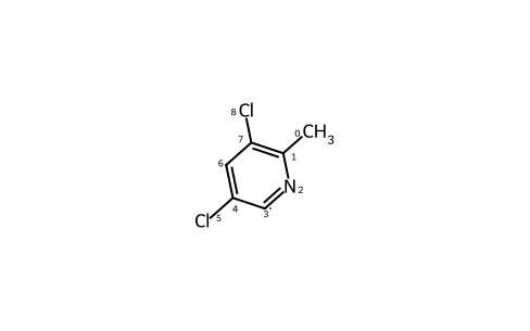 Cc1n[c]c(Cl)cc1Cl